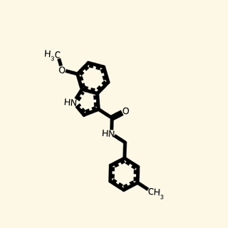 COc1cccc2c(C(=O)NCc3cccc(C)c3)c[nH]c12